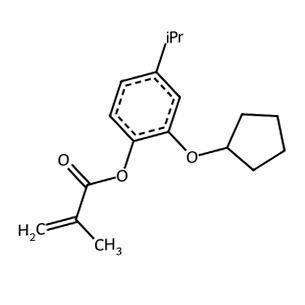 C=C(C)C(=O)Oc1ccc(C(C)C)cc1OC1CCCC1